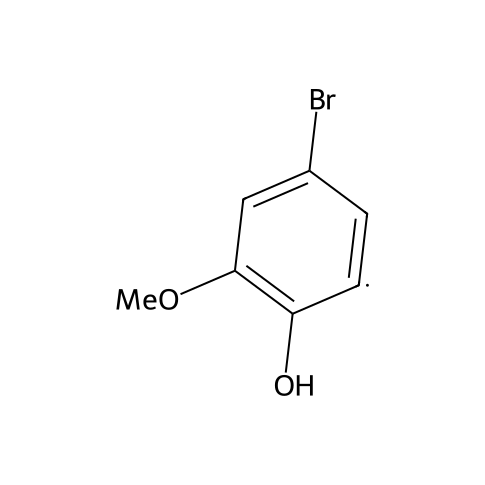 COc1cc(Br)c[c]c1O